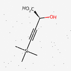 C[Si](C)(C)C#C[C@H](O)C(=O)O